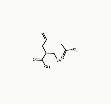 C=CCC(CS)C(=O)O.CC(=O)S